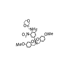 COc1ccc(CN(Cc2ccc(OC)cc2)S(=O)(=O)c2cc(F)c(NC[C@H]3COCCO3)c([N+](=O)[O-])c2)cc1